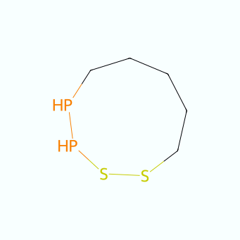 C1CCPPSSCC1